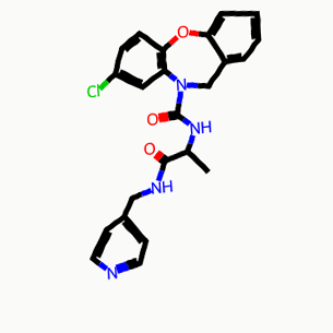 CC(NC(=O)N1Cc2ccccc2Oc2ccc(Cl)cc21)C(=O)NCc1ccncc1